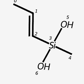 CC=C[Si](C)(O)O